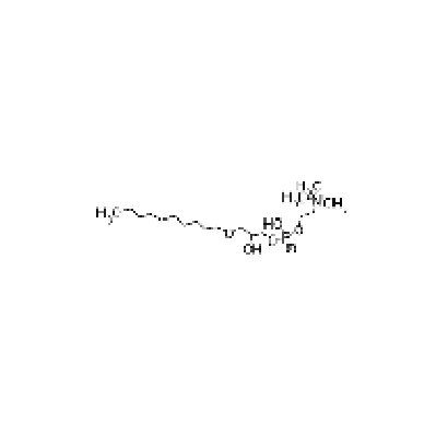 CCCCCCCCCCOCC(O)COP(=O)(O)OCC[N+](C)(C)C